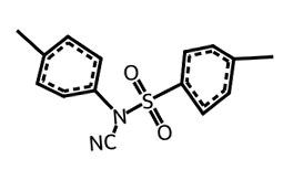 Cc1ccc(N(C#N)S(=O)(=O)c2ccc(C)cc2)cc1